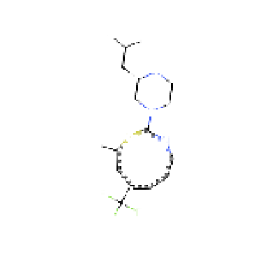 Cc1cc(C(F)(F)F)cccnc(N2CCN[C@H](CC(C)C)C2)s1